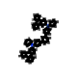 C1=CCCC(N(c2ccc(-c3cccc(-c4ccc(N(c5ccccc5)c5ccc6c7ccccc7c7ccccc7c6c5)cc4)c3)cc2)c2ccc3c4ccccc4c4ccccc4c3c2)=C1